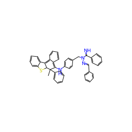 CC1(c2ccccc2)C(Nc2ccc(CN(/N=C/c3ccccc3)C(=N)c3ccccc3)cc2)=c2ccccc2=C2c3ccccc3SC21